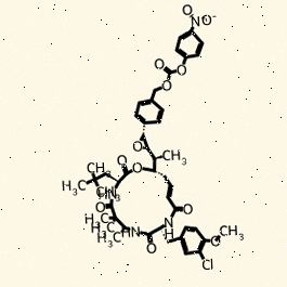 COc1ccc(C[C@H]2NC(=O)/C=C/C[C@@H]([C@H](C)[C@H]3O[C@@H]3c3ccc(COC(=O)Oc4ccc([N+](=O)[O-])cc4)cc3)OC(=O)[C@H](CC(C)(C)C)NC(=O)C(C)(C)[C@H](C)NC2=O)cc1Cl